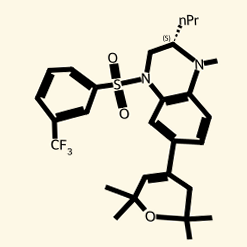 CCC[C@H]1CN(S(=O)(=O)c2cccc(C(F)(F)F)c2)c2cc(C3=CC(C)(C)OC(C)(C)C3)ccc2N1C